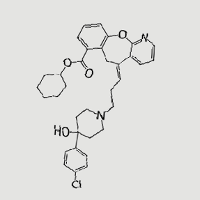 O=C(OC1CCCCC1)c1cccc2c1CC(=CCCN1CCC(O)(c3ccc(Cl)cc3)CC1)c1cccnc1O2